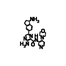 Nc1ncc(-c2ccc3c(c2)CCC3N)nc1C(=O)Nc1cnccc1N1CCOCC1